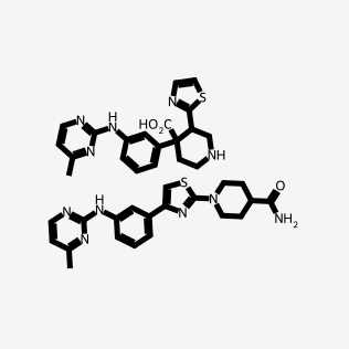 Cc1ccnc(Nc2cccc(-c3csc(N4CCC(C(N)=O)CC4)n3)c2)n1.Cc1ccnc(Nc2cccc(C3(C(=O)O)CCNCC3c3nccs3)c2)n1